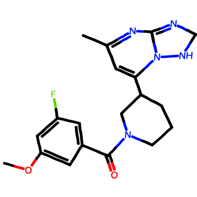 COc1cc(F)cc(C(=O)N2CCCC(C3=CC(C)=NC4=NCNN34)C2)c1